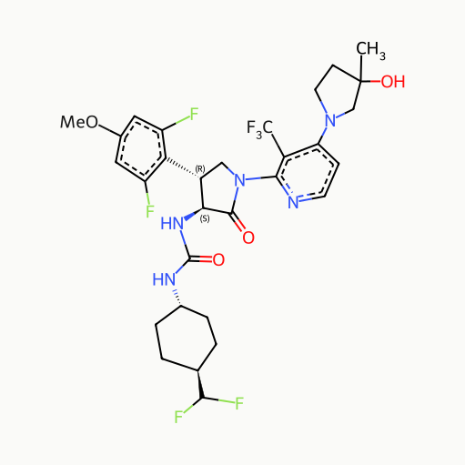 COc1cc(F)c([C@@H]2CN(c3nccc(N4CCC(C)(O)C4)c3C(F)(F)F)C(=O)[C@H]2NC(=O)N[C@H]2CC[C@H](C(F)F)CC2)c(F)c1